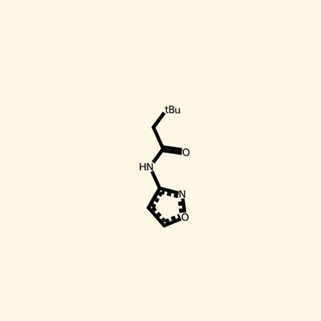 CC(C)(C)CC(=O)Nc1ccon1